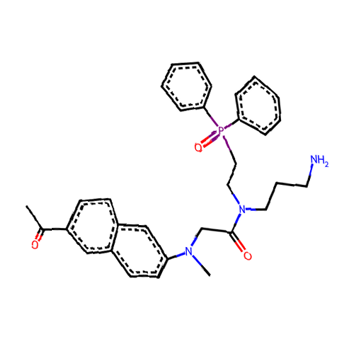 CC(=O)c1ccc2cc(N(C)CC(=O)N(CCCN)CCP(=O)(c3ccccc3)c3ccccc3)ccc2c1